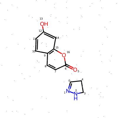 C1=NNCC1.O=c1ccc2ccc(O)cc2o1